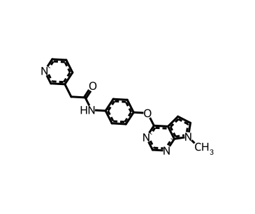 Cn1ccc2c(Oc3ccc(NC(=O)Cc4cccnc4)cc3)ncnc21